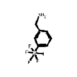 NCc1cccc(S(F)(F)(F)(F)I)c1